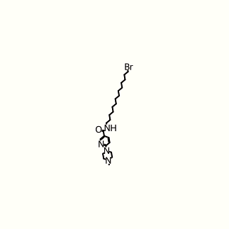 CN1CCN(c2ccc(C(=O)NCCCCCCCCCCCCCCBr)cn2)CC1